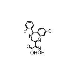 O=C(O)C(=NO)C1=Nc2cc(Cl)ccc2C(c2ccccc2F)=NC1